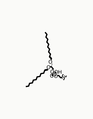 CCCCCCCCCCC=COC[C@H](COP(=O)(O)OCC[N+](C)(C)C)OC=CCCCCCCCCCC